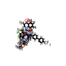 [2H]C1=C(SC([2H])([2H])c2cccc(F)c2F)N(CC(=O)N(C([2H])([2H])c2ccc(-c3ccc(C(F)(F)F)cc3)cc2)C2([2H])C([2H])([2H])C([2H])([2H])N(C([2H])([2H])C([2H])([2H])OC([2H])([2H])[2H])C([2H])([2H])C2([2H])[2H])c2c([2H])c([2H])c(C)c([2H])c2C1O